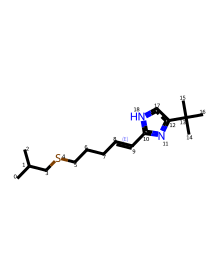 CC(C)CSCCC/C=C/c1nc(C(C)(C)C)c[nH]1